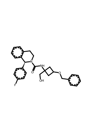 O=C(NC1(CO)CC(OCc2ccccc2)C1)N1CCc2ccccc2[C@@H]1c1ccc(F)cc1